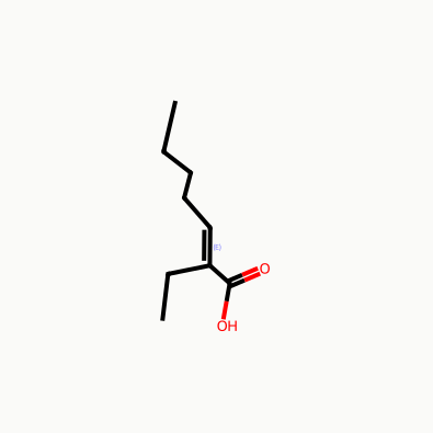 CCCC/C=C(\CC)C(=O)O